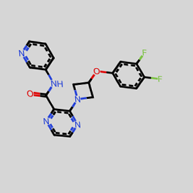 O=C(Nc1cccnc1)c1nccnc1N1CC(Oc2ccc(F)c(F)c2)C1